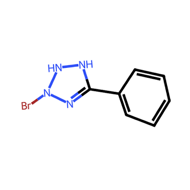 BrN1N=C(c2ccccc2)NN1